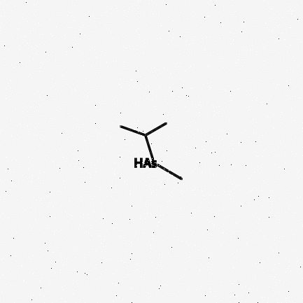 C[AsH]C(C)C